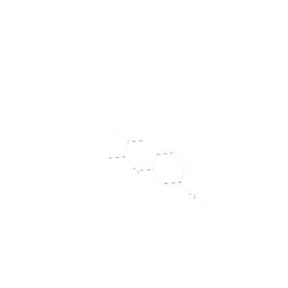 CC(C)C(C)NC1CCCC(N)C1